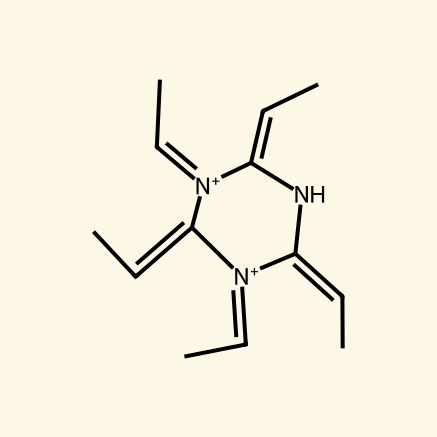 CC=C1NC(=CC)[N+](=CC)C(=CC)[N+]1=CC